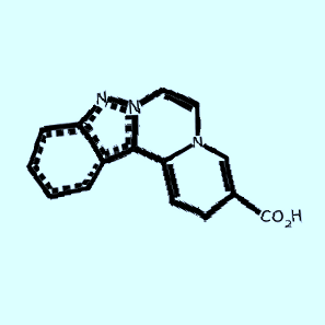 O=C(O)C1=CN2C=Cn3nc4ccccc4c3C2=CC1